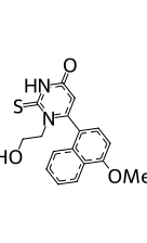 COc1ccc(-c2cc(=O)[nH]c(=S)n2CCO)c2ccccc12